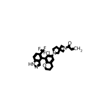 C=CC(=O)N1CC2(CCN(c3cc4c(c(-c5c(C(F)(F)F)ccc6[nH]ncc56)c3Cl)OCCC4)C2)C1